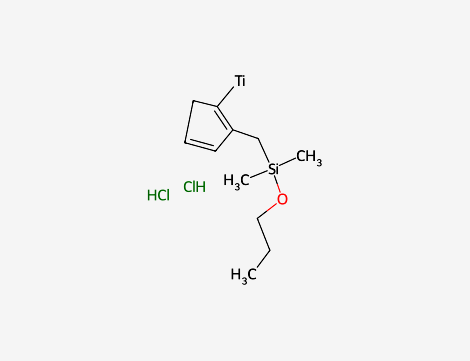 CCCO[Si](C)(C)CC1=[C]([Ti])CC=C1.Cl.Cl